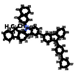 CC1(C)c2ccccc2-c2ccc3c4cc(-c5ccc6c(c5)-c5ccccc5C6c5ccc(-c6ccccc6)cc5)ccc4n(-c4ccc5ccccc5c4)c3c21